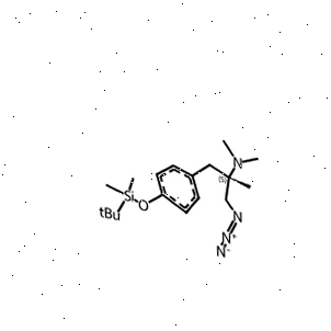 CN(C)[C@](C)(CN=[N+]=[N-])Cc1ccc(O[Si](C)(C)C(C)(C)C)cc1